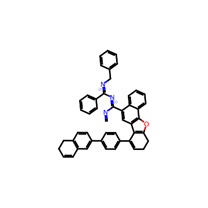 C=N/C(=N\C(=N/Cc1ccccc1)c1ccccc1)c1cc2c3c(oc2c2ccccc12)CCC=C3c1ccc(-c2ccc3c(c2)C=CCC3)cc1